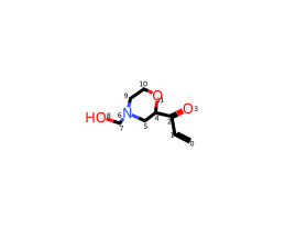 C=CC(=O)C1CN(CO)CCO1